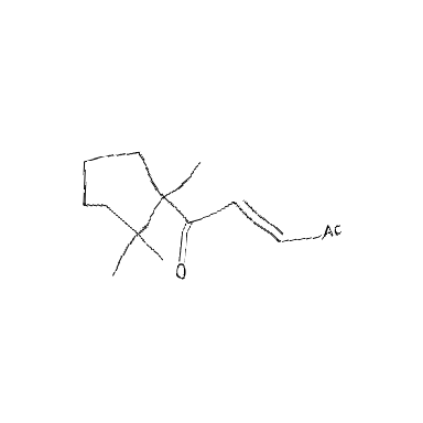 CC(=O)/C=C/C(=O)C1(C)CCCC1(C)C